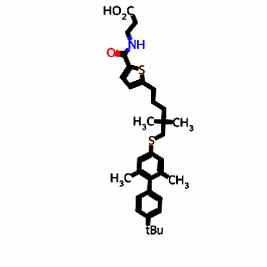 Cc1cc(SCC(C)(C)CCCc2ccc(C(=O)NCCC(=O)O)s2)cc(C)c1-c1ccc(C(C)(C)C)cc1